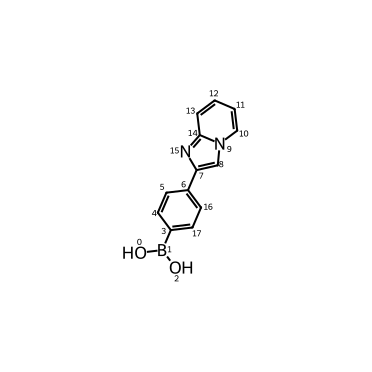 OB(O)c1ccc(-c2cn3ccccc3n2)cc1